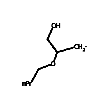 [CH2]C(CO)OCCCC